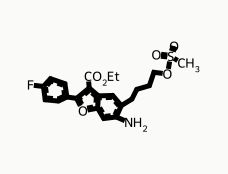 CCOC(=O)c1c(-c2ccc(F)cc2)oc2cc(N)c(CCCCOS(C)(=O)=O)cc12